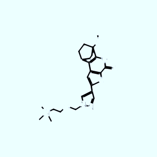 COC12CCC(CC1)c1c2oc(=O)c2sc(-c3cnn(COCC[Si](C)(C)C)c3)cc12